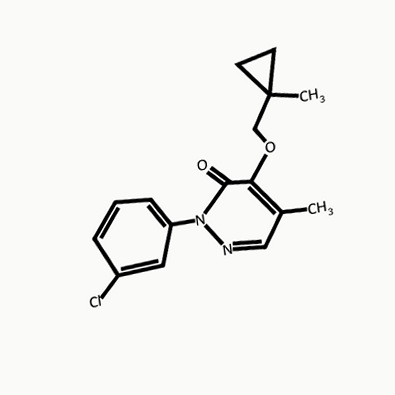 Cc1cnn(-c2cccc(Cl)c2)c(=O)c1OCC1(C)CC1